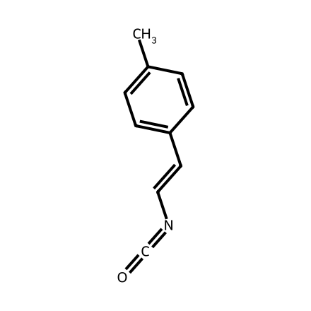 Cc1ccc(C=CN=C=O)cc1